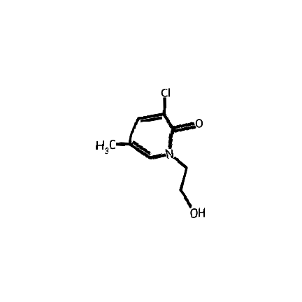 Cc1cc(Cl)c(=O)n(CCO)c1